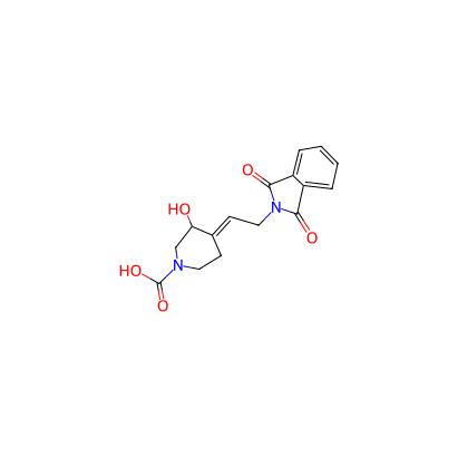 O=C(O)N1CC/C(=C\CN2C(=O)c3ccccc3C2=O)C(O)C1